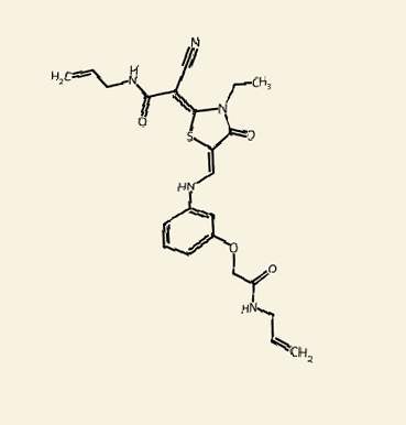 C=CCNC(=O)COc1cccc(NC=c2sc(=C(C#N)C(=O)NCC=C)n(CC)c2=O)c1